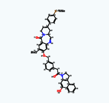 CNSc1ccc(C2=CCN3C(=O)c4cc(OC)c(OCc5cccc(CC(=O)N6CCc7c6cc(O)c6ccccc76)c5)cc4N=CC3C2)cc1